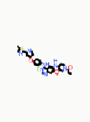 C=CC(=O)N1CCC(Nc2cc3c(Nc4ccc(Oc5ccnc(-c6ncc(C)s6)c5)cc4F)ncnc3cc2OC)CC1